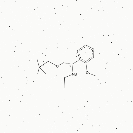 CCN[C@H](COCC(C)(C)C)c1ccccc1OC